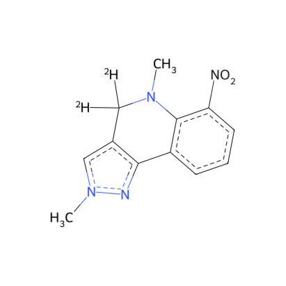 [2H]C1([2H])c2cn(C)nc2-c2cccc([N+](=O)[O-])c2N1C